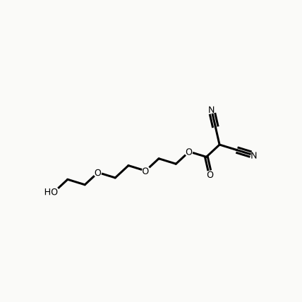 N#CC(C#N)C(=O)OCCOCCOCCO